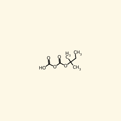 CCC(C)(C)OC(=O)OC(=O)O